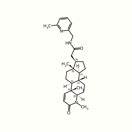 Cc1cccc(CNC(=O)C[C@H]2CC[C@H]3[C@@H]4CC[C@H]5N(C)C(=O)C=C[C@]5(C)[C@H]4CC[C@]23C)n1